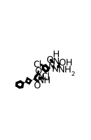 NC1=NN(c2cc(Cl)c(Oc3cc([C@H]4C[C@H](c5ccccc5)C4)c(=O)[nH]n3)c(Cl)c2)C(=O)NC1O